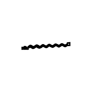 CCCCC=CC=CCCCCCCCCCl